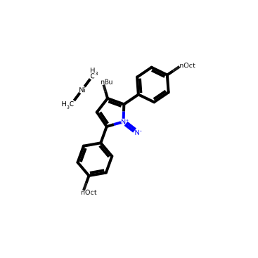 CCCCCCCCc1ccc(C2=CC(CCCC)=C(c3ccc(CCCCCCCC)cc3)[N+]2=[N-])cc1.[CH3][Ni][CH3]